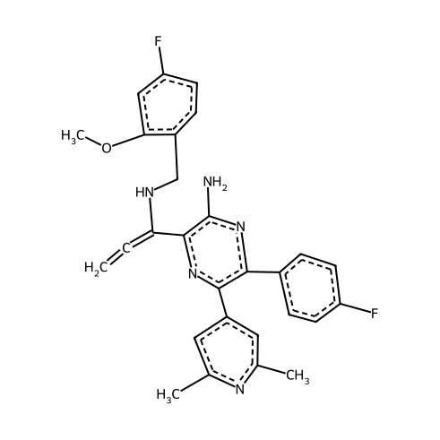 C=C=C(NCc1ccc(F)cc1OC)c1nc(-c2cc(C)nc(C)c2)c(-c2ccc(F)cc2)nc1N